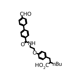 CCCCC(Cc1ccc(OCCNC(=O)c2ccc(-c3ccc(C=O)cc3)cc2)cc1)C(=O)O